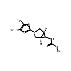 CCOC(=O)c1sc(N2C[C@@H]3C(NC(=O)OC(C)(C)C)[C@@H]3C2)nc1C